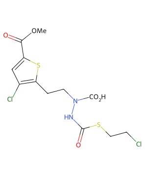 COC(=O)c1cc(Cl)c(CCN(NC(=O)SCCCl)C(=O)O)s1